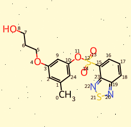 Cc1cc(OCCCO)cc(OS(=O)(=O)c2cccc3nsnc23)c1